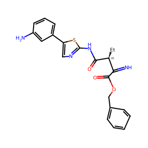 CC[C@@H](C(=N)C(=O)OCc1ccccc1)C(=O)Nc1ncc(-c2cccc(N)c2)s1